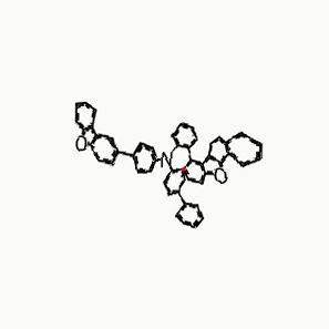 c1ccc(-c2ccc(N(c3ccc(-c4ccc5oc6ccccc6c5c4)cc3)c3ccccc3-c3cccc4oc5c6ccccc6ccc5c34)cc2)cc1